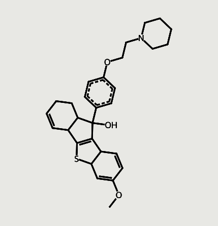 COC1=CC2SC3=C(C2C=C1)C(O)(c1ccc(OCCN2CCCCC2)cc1)C1CCC=CC31